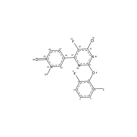 Cc1cccc(F)c1Oc1nc(Cl)c(F)c(-c2ccc(=O)n(C)c2)n1